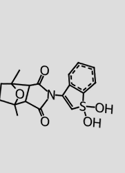 CC12CCC(C)(O1)C1C(=O)N(C3=CS(O)(O)c4ccccc43)C(=O)C12